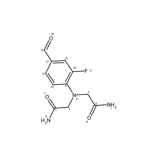 NC(=O)CN(CC(N)=O)c1ccc(C=O)cc1F